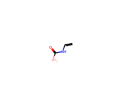 BC(=O)NC=C